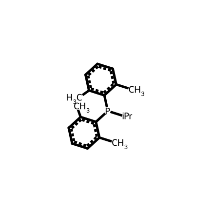 Cc1cccc(C)c1P(c1c(C)cccc1C)C(C)C